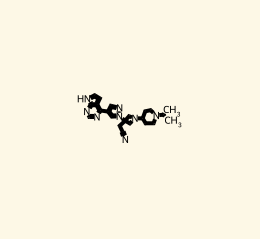 CC(C)N1CCC(N2CC(CC#N)(n3cc(-c4ncnc5[nH]ccc45)cn3)C2)CC1